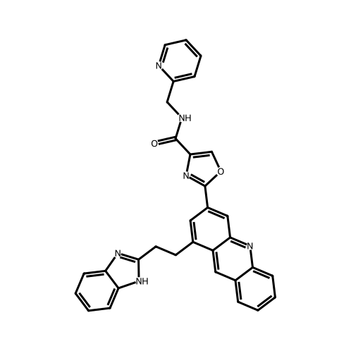 O=C(NCc1ccccn1)c1coc(-c2cc(CCc3nc4ccccc4[nH]3)c3cc4ccccc4nc3c2)n1